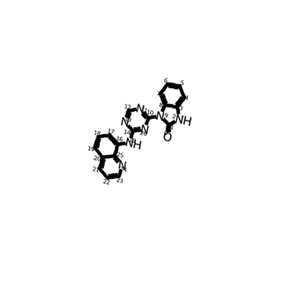 O=c1[nH]c2ccccc2n1-c1ncnc(Nc2cccc3cccnc23)n1